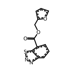 O=C(OCc1ccco1)c1cccc2nnsc12